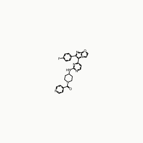 O=C(c1ccncc1)N1CCC(Nc2nccc(-c3c(-c4ccc(F)cc4)nc4occn34)n2)CC1